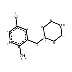 Cc1ncc(Cl)cc1CN1CCOCC1